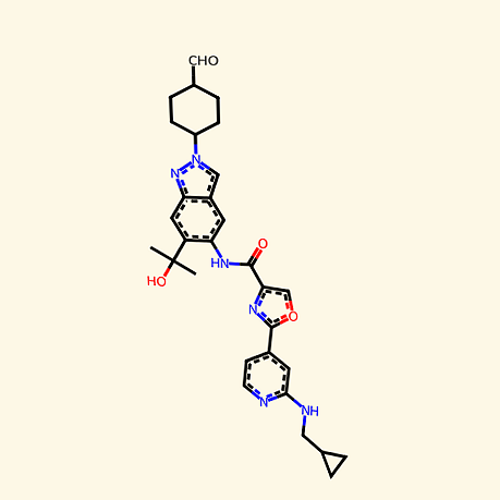 CC(C)(O)c1cc2nn(C3CCC(C=O)CC3)cc2cc1NC(=O)c1coc(-c2ccnc(NCC3CC3)c2)n1